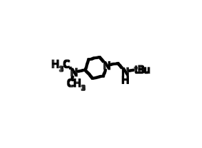 CN(C)C1CCN(CNC(C)(C)C)CC1